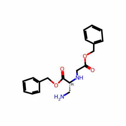 NC[C@@H](NCC(=O)OCc1ccccc1)C(=O)OCc1ccccc1